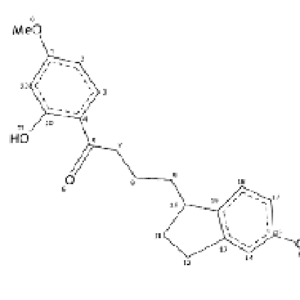 COc1ccc(C(=O)CCCC2CCc3cc(Cl)ccc32)c(O)c1